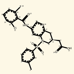 Cc1cccc(S(=O)(=O)N2C[C@H](CC(=O)O)Cc3ncc(NC(=O)c4c(F)cccc4Cl)cc32)c1